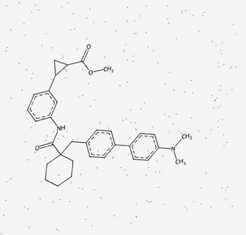 COC(=O)C1CC1c1cccc(NC(=O)C2(Cc3ccc(-c4ccc(N(C)C)cc4)cc3)CCCCC2)c1